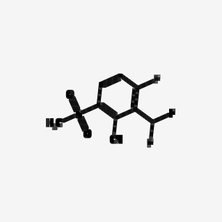 CS(=O)(=O)c1ccc(F)c(C(F)F)c1C#N